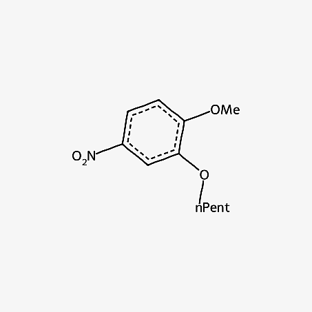 CCCCCOc1cc([N+](=O)[O-])ccc1OC